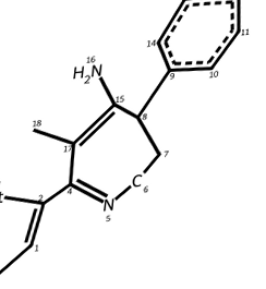 C/C=C(\CC)C1=NCCC(c2ccccc2)C(N)=C1C